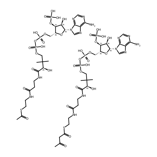 CC(=O)CC(=O)SCCNC(=O)CCNC(=O)[C@H](O)C(C)(C)COP(=O)(O)OP(=O)(O)OC[C@H]1O[C@@H](n2cnc3c(N)ncnc32)[C@H](O)[C@@H]1OP(=O)(O)O.CC(=O)SCCNC(=O)CCNC(=O)[C@H](O)C(C)(C)COP(=O)(O)OP(=O)(O)OC[C@H]1O[C@@H](n2cnc3c(N)ncnc32)[C@H](O)[C@@H]1OP(=O)(O)O